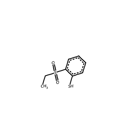 CCS(=O)(=O)c1ccccc1S